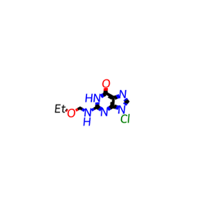 CCOCNc1nc2c(ncn2Cl)c(=O)[nH]1